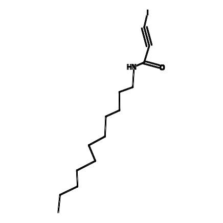 CCCCCCCCCCCNC(=O)C#CI